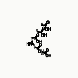 C1CN1.CC(=O)O.CC(=O)O.CC(=O)O.CC(=O)O.CC(=O)O